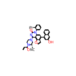 C=CC(=O)N1CCN(c2nc(=O)n(-c3ccccc3C(C)C)c3cc(-c4cc(O)cc5ccccc45)c4ccoc4c23)C[C@@H]1CC#N